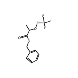 CC(OSC(F)(F)F)C(=O)OCc1ccccc1